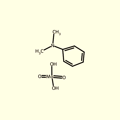 CN(C)c1ccccc1.[O]=[Mo](=[O])([OH])[OH]